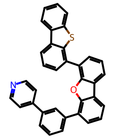 c1cc(-c2ccncc2)cc(-c2cccc3c2oc2c(-c4cccc5c4sc4ccccc45)cccc23)c1